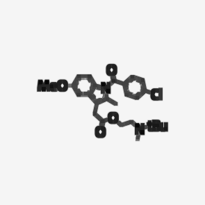 COc1ccc2c(c1)c(CC(=O)OCCN(C)C(C)(C)C)c(C)n2C(=O)c1ccc(Cl)cc1